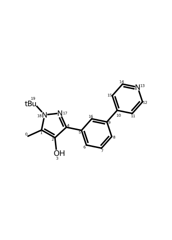 Cc1c(O)c(-c2cccc(-c3ccncc3)c2)nn1C(C)(C)C